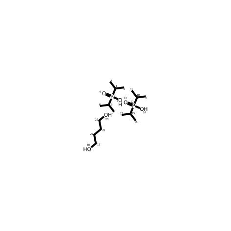 CC(C)P(=O)(O)C(C)C.CC(C)P(=O)(O)C(C)C.OCCCCO